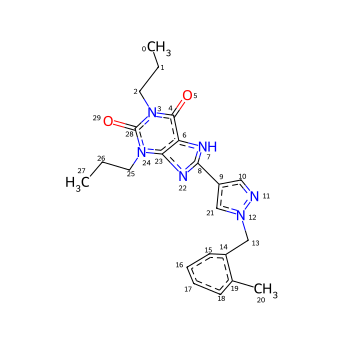 CCCn1c(=O)c2[nH]c(-c3cnn(Cc4ccccc4C)c3)nc2n(CCC)c1=O